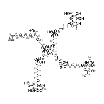 CC(=O)NC1C(OCCCCCCOP(=O)(O)OCCCOCC(COCCCOP(=O)(O)OCCCCCCOC2OC(CO)C(O)C(O)C2NC(C)=O)(COCCCOP(=O)(O)OCCCCCCOC2OC(CO)C(O)C(O)C2NC(C)=O)COP(=O)(O)OCCCOCC(CO)COCCCO/C=C/C2CCC2)OC(CO)C(O)C1O